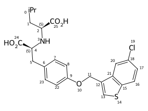 CC(C)C[C@H](N[C@@H](Cc1ccc(OCc2csc3ccc(Cl)cc23)cc1)C(=O)O)C(=O)O